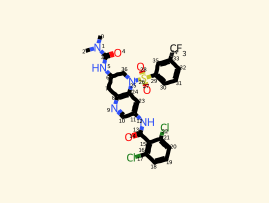 CN(C)C(=O)NC1Cc2ncc(NC(=O)c3c(Cl)cccc3Cl)cc2N(S(=O)(=O)c2cccc(C(F)(F)F)c2)C1